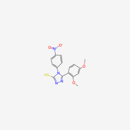 COc1ccc(-c2nnc(S)n2-c2ccc([N+](=O)[O-])cc2)c(OC)c1